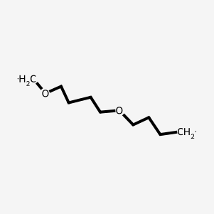 [CH2]CCCOCCCCO[CH2]